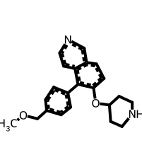 COCc1ccc(-c2c(OC3CCNCC3)ccc3cnccc23)cc1